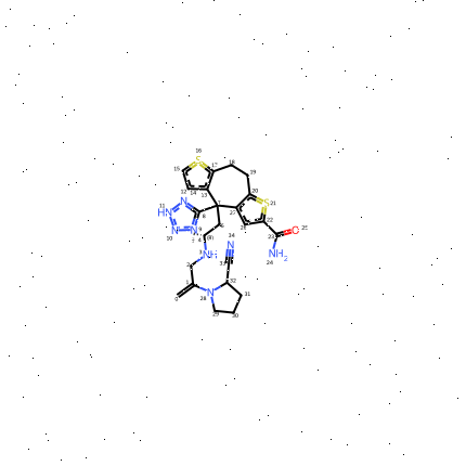 C=C(CN[C@H](C)CC1(c2nn[nH]n2)c2ccsc2CCc2sc(C(N)=O)cc21)N1CCCC1C#N